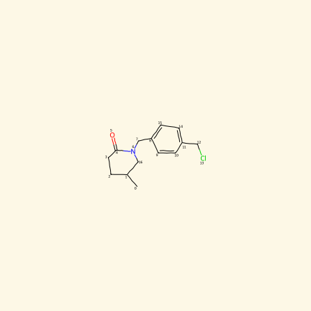 CC1CCC(=O)N(Cc2ccc(CCl)cc2)C1